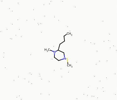 CCCCC1CN(SC)CCN1C